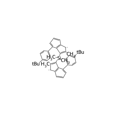 CC1=C([Si](C)(C)C2=C(C)[CH]c3cccc(-c4ccc(C(C)(C)C)cc4)c32)c2c(cccc2-c2ccc(C(C)(C)C)cc2)[CH]1